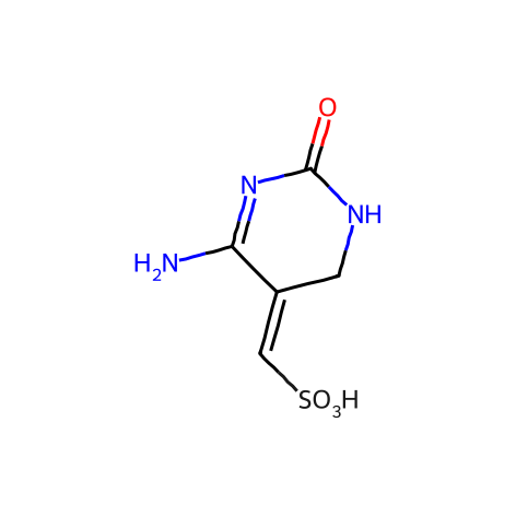 NC1=NC(=O)NCC1=CS(=O)(=O)O